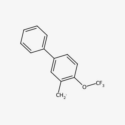 [CH2]c1cc(-c2ccccc2)ccc1OC(F)(F)F